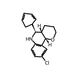 Clc1ccc2c(c1)[C@H]1OCCC[C@H]1[C@H](C1C=CC=CC1)N2